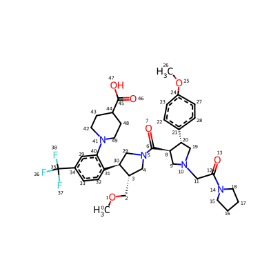 COC[C@H]1CN(C(=O)[C@@H]2CN(CC(=O)N3CCCC3)C[C@H]2c2ccc(OC)cc2)C[C@@H]1c1ccc(C(F)(F)F)cc1N1CCC(C(=O)O)CC1